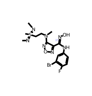 CN=S(C)(CCN(C)c1nonc1/C(=N/O)Nc1ccc(F)c(Br)c1)=NC